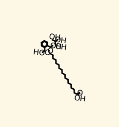 CCCCCCCCCCCCCCCCCC(=O)O.O=C(O)c1ccccc1C(=O)O.OCC(O)CO